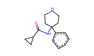 O=C(NC1(c2ccccc2)CCNCC1)C1CC1